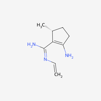 C=C/N=C(/N)C1=C(N)CC[C@H]1C